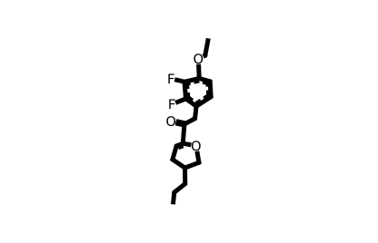 CCCC1CC=C(C(=O)Cc2ccc(OCC)c(F)c2F)OC1